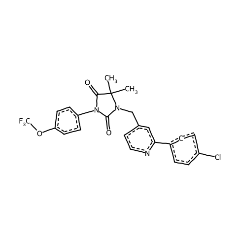 CC1(C)C(=O)N(c2ccc(OC(F)(F)F)cc2)C(=O)N1Cc1ccnc(-c2ccc(Cl)cc2)c1